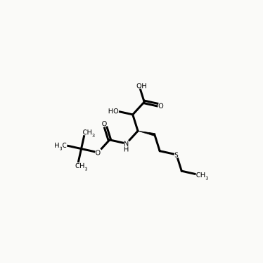 CCSCC[C@@H](NC(=O)OC(C)(C)C)C(O)C(=O)O